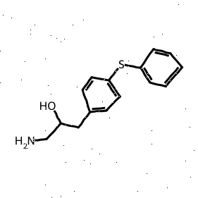 NCC(O)Cc1ccc(Sc2ccccc2)cc1